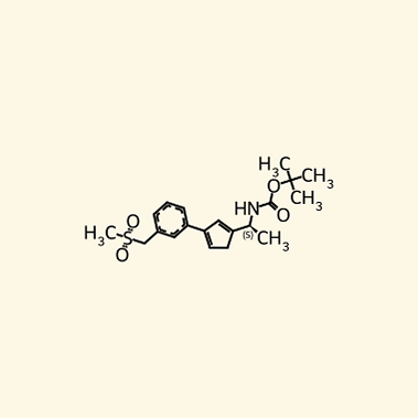 C[C@H](NC(=O)OC(C)(C)C)C1=CC(c2cccc(CS(C)(=O)=O)c2)=CC1